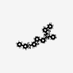 c1ccc(-c2ccc3nc(-c4ccc5sc6c(-c7cccc(-c8nc(-c9ccccc9)nc(-c9cccc%10c9sc9ccccc9%10)n8)c7)cccc6c5c4)sc3c2)cc1